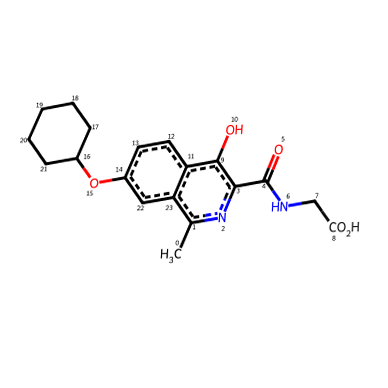 Cc1nc(C(=O)NCC(=O)O)c(O)c2ccc(OC3CCCCC3)cc12